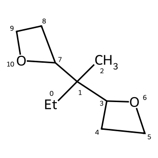 CCC(C)(C1CCO1)C1CCO1